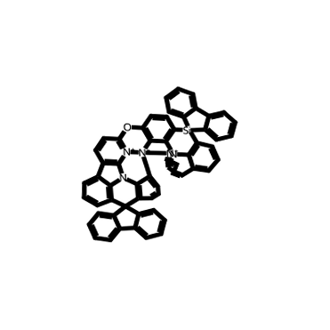 c1ccc2c(c1)-c1ccccc1C21c2cccc3c2-n2c4c1cccc4c1ccc4[n+](c12)[N+]31c2c(ccc3c2-n2c5c(cccc5c5ccc[n+]1c52)[Si]31c2ccccc2-c2ccccc21)O4